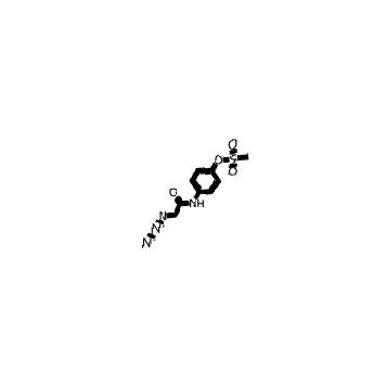 CS(=O)(=O)Oc1ccc(NC(=O)CN=[N+]=[N-])cc1